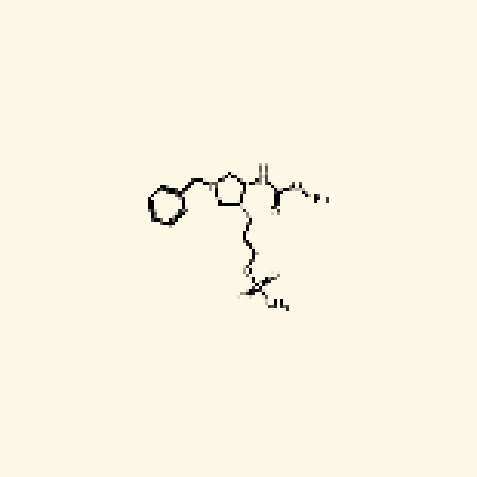 CC(C)(C)OC(=O)N[C@@H]1CN(Cc2ccccc2)C[C@H]1CCCOS(C)(=O)=O